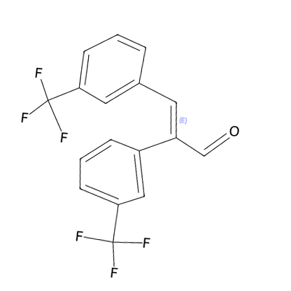 O=C/C(=C/c1cccc(C(F)(F)F)c1)c1cccc(C(F)(F)F)c1